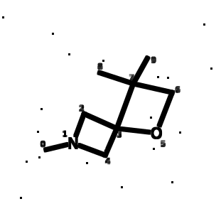 CN1CC2(C1)OCC2(C)C